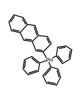 c1ccc([PH](c2ccccc2)(c2ccccc2)c2ccc3cc4ccccc4cc3c2)cc1